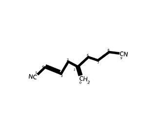 C=C(C/C=C/C#N)CCCC#N